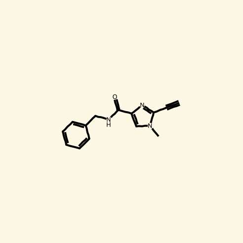 C#Cc1nc(C(=O)NCc2ccccc2)cn1C